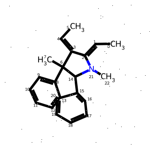 C/C=C1/C(=C\C)C(C)(c2ccccc2)C(c2ccccc2)N1C